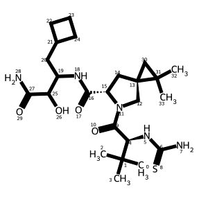 CC(C)(C)[C@H](NC(N)=S)C(=O)N1C[C@@]2(C[C@H]1C(=O)NC(CC1CCC1)C(O)C(N)=O)CC2(C)C